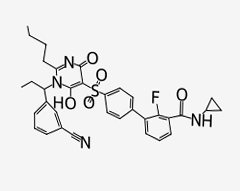 CCCCc1nc(=O)c(S(=O)(=O)c2ccc(-c3cccc(C(=O)NC4CC4)c3F)cc2)c(O)n1C(CC)c1cccc(C#N)c1